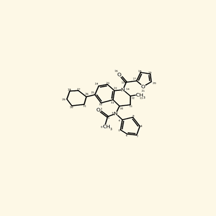 CC(=O)N(c1ccccc1)C1CC(C)N(C(=O)c2ccco2)c2ccc(C3CCCCC3)cc21